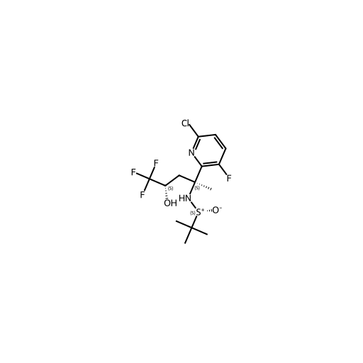 CC(C)(C)[S@@+]([O-])N[C@@](C)(C[C@H](O)C(F)(F)F)c1nc(Cl)ccc1F